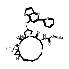 CC(C)(C)OC(=O)N[C@H]1CCCCC/C=C\[C@@H]2C[C@@]2(C(=O)O)NC(=O)[C@@H]2C[C@@H](Oc3cc(-c4ccccn4)nc4ccsc34)CN2C1=O